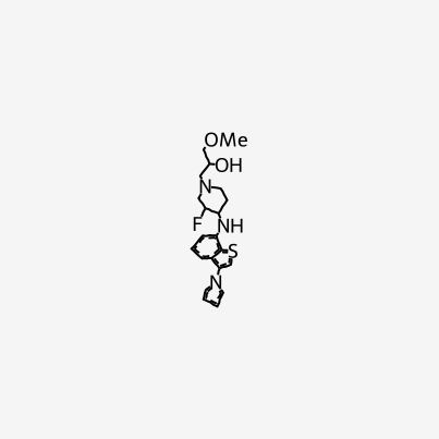 COCC(O)CN1CCC(Nc2cccc3c(-n4cccc4)csc23)C(F)C1